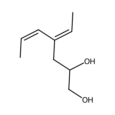 C/C=C\C(=C/C)CC(O)CO